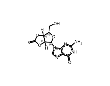 Nc1nc2c(ncn2[C@@H]2O[C@H](CO)[C@H]3OC(=S)O[C@H]32)c(=O)[nH]1